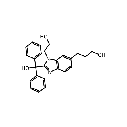 OCCCc1ccc2nc(C(O)(c3ccccc3)c3ccccc3)n(CCO)c2c1